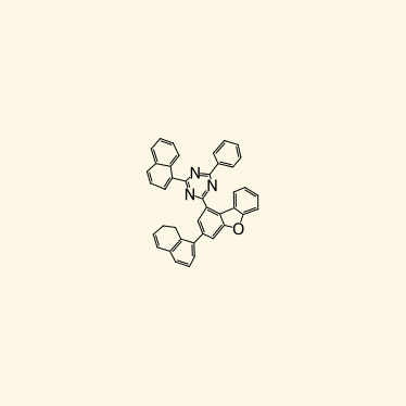 C1=Cc2cccc(-c3cc(-c4nc(-c5ccccc5)nc(-c5cccc6ccccc56)n4)c4c(c3)oc3ccccc34)c2CC1